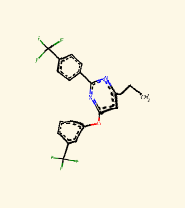 CCc1cc(Oc2cccc(C(F)(F)F)c2)nc(-c2ccc(C(F)(F)F)cc2)n1